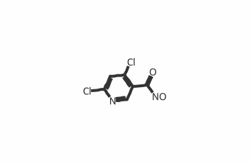 O=NC(=O)c1cnc(Cl)cc1Cl